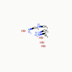 Br.Br.Br.Br.CN.CN.CN.CN